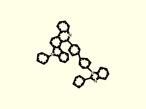 c1ccc(-c2nc3ccccc3n2-c2ccc(-c3ccc(-c4nc5ccccc5c5ccc6c(c7ccccc7n6-c6ccccc6)c45)cc3)cc2)cc1